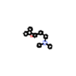 c1ccc(-c2nc(-c3ccccc3)nc(-c3cccc(-c4cccc(-c5ccc6oc7c8ccccc8c8ccccc8c7c6c5)c4)c3)n2)cc1